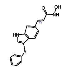 O=C(/C=C/c1ccc2c(Sc3ccccc3)c[nH]c2c1)NO